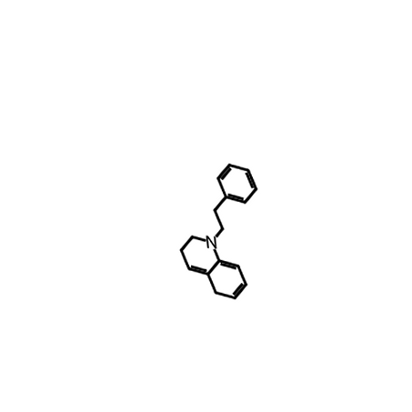 C1=CCC2=CCCN(CCc3ccccc3)C2=C1